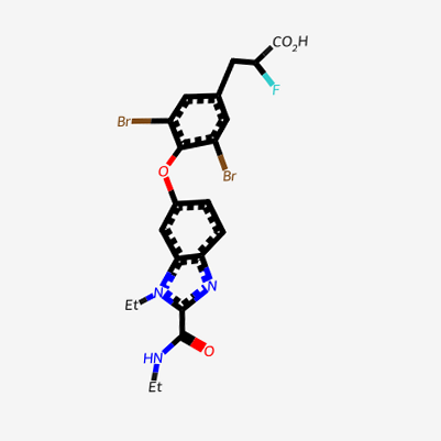 CCNC(=O)c1nc2ccc(Oc3c(Br)cc(CC(F)C(=O)O)cc3Br)cc2n1CC